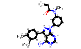 C=CC(=O)N(C)c1cccc(-n2nc(-c3ccc(C)c(OC)c3)c3c(N)ncnc32)c1